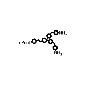 CCCCCC1CCC(CCC2CCC(c3ccc(Cc4ccc(N)cc4)cc3)(c3ccc(Cc4ccc(N)cc4)cc3)CC2)CC1